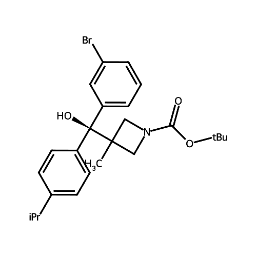 CC(C)c1ccc([C@](O)(c2cccc(Br)c2)C2(C)CN(C(=O)OC(C)(C)C)C2)cc1